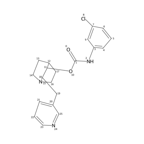 O=C(Nc1cccc(Cl)c1)OC1C2CCN(CC2)C1Cc1cccnc1